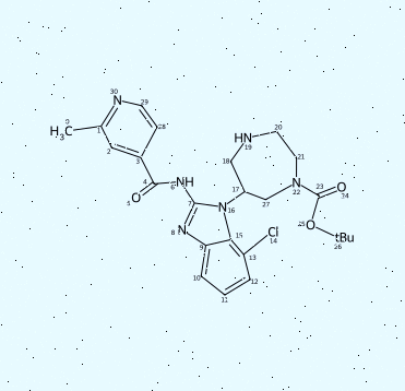 Cc1cc(C(=O)Nc2nc3cccc(Cl)c3n2C2CNCCN(C(=O)OC(C)(C)C)C2)ccn1